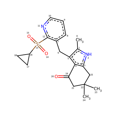 Cc1[nH]c2c(c1Cc1cccnc1S(=O)(=O)C1CC1)C(=O)CC(C)(C)C2